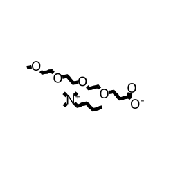 CCCC[N+](C)(C)C.COCCOCCOCCOCCC(=O)[O-]